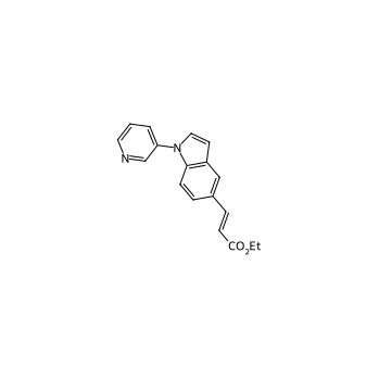 CCOC(=O)C=Cc1ccc2c(ccn2-c2cccnc2)c1